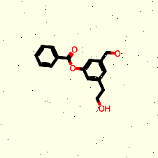 [O]Cc1cc(CCO)cc(OC(=O)c2ccccc2)c1